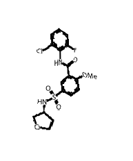 COc1ccc(S(=O)(=O)N[C@H]2CCOC2)cc1C(=O)Nc1c(F)cccc1Cl